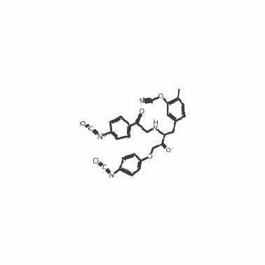 Cc1ccc(CC(NCC(=O)c2ccc(N=C=O)cc2)C(=O)COc2ccc(N=C=O)cc2)cc1OC#N